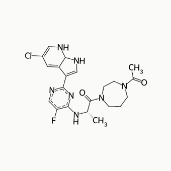 CC(=O)N1CCCN(C(=O)[C@H](C)Nc2nc(C3=CNC4NC=C(Cl)C=C34)ncc2F)CC1